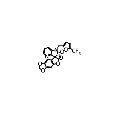 O=S1(=O)N(Cc2ccc(C(F)(F)F)o2)c2cccnc2C12COc1cc3c(cc12)OCO3